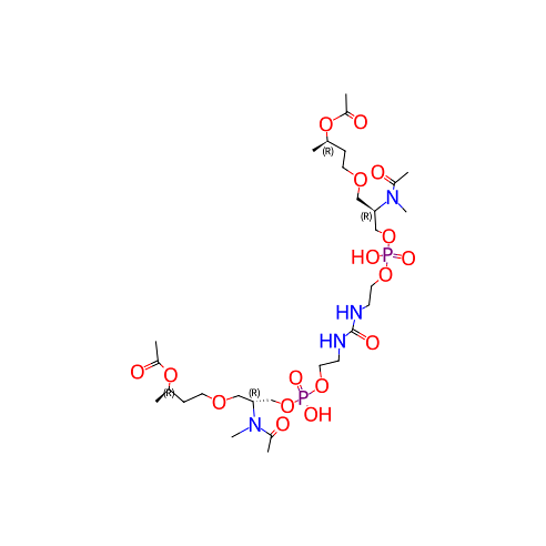 CC(=O)O[C@H](C)CCOC[C@H](COP(=O)(O)OCCNC(=O)NCCOP(=O)(O)OC[C@@H](COCC[C@@H](C)OC(C)=O)N(C)C(C)=O)N(C)C(C)=O